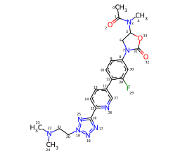 CC(=O)N(C)C1CN(c2ccc(-c3ccc(-c4nnn(CCN(C)C)n4)nc3)c(F)c2)C(=O)O1